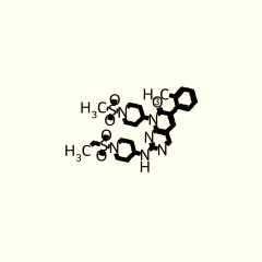 CCS(=O)(=O)N1CCC(Nc2ncc3cc(-c4ccccc4C)c(=O)n(C4CCN(S(C)(=O)=O)CC4)c3n2)CC1